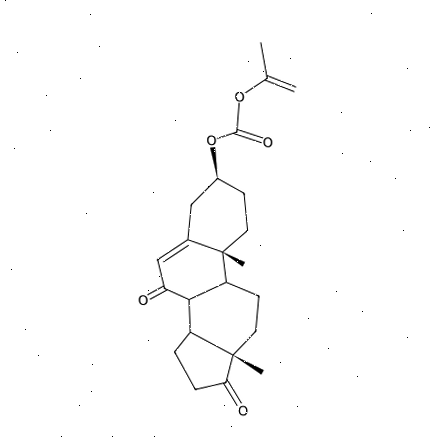 C=C(C)OC(=O)O[C@H]1CC[C@@]2(C)C(=CC(=O)C3C2CC[C@]2(C)C(=O)CCC32)C1